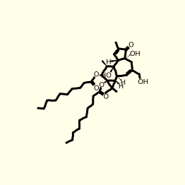 CCCCCCCCCC(=O)O[C@@H]1[C@@H](C)[C@@]2(O)[C@@H](C=C(CO)C[C@]3(O)C(=O)C(C)=C[C@@H]23)[C@@H]2C(C)(C)[C@]12OC(=O)CCCCCCCCC